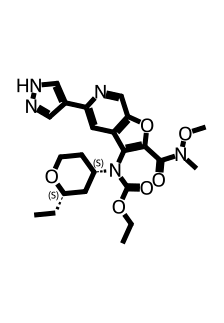 CCOC(=O)N(c1c(C(=O)N(C)OC)oc2cnc(-c3cn[nH]c3)cc12)[C@H]1CCO[C@@H](CC)C1